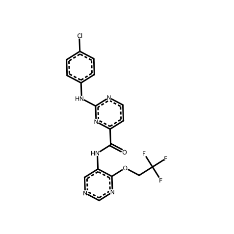 O=C(Nc1cncnc1OCC(F)(F)F)c1ccnc(Nc2ccc(Cl)cc2)n1